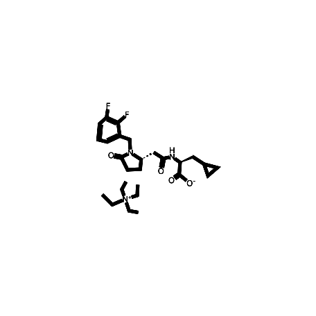 CC[N+](CC)(CC)CC.O=C(C[C@@H]1CCC(=O)N1Cc1cccc(F)c1F)N[C@@H](CC1CC1)C(=O)[O-]